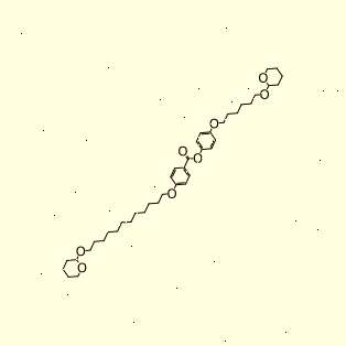 O=C(Oc1ccc(OCCCCCCOC2CCCCO2)cc1)c1ccc(OCCCCCCCCCCCCOC2CCCCO2)cc1